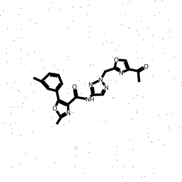 CC(=O)c1coc(Cn2ncc(NC(=O)c3nc(C)oc3-c3cccc(C)c3)n2)n1